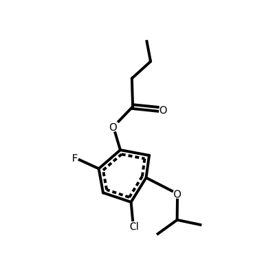 CCCC(=O)Oc1cc(OC(C)C)c(Cl)cc1F